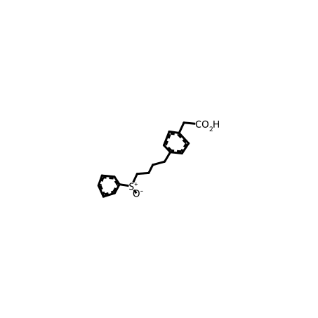 O=C(O)Cc1ccc(CCCC[S+]([O-])c2ccccc2)cc1